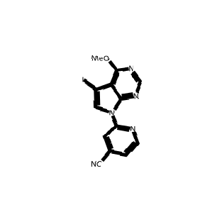 COc1ncnc2c1c(I)cn2-c1cc(C#N)ccn1